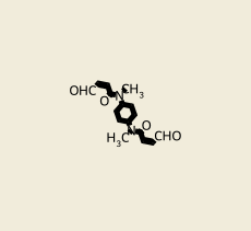 CN(C(=O)/C=C\C=O)C1CCC(N(C)C(=O)/C=C\C=O)CC1